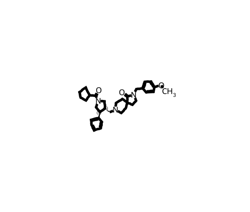 COc1ccc(CN2CCC3(CCN(C[C@H]4CN(C(=O)C5CCCC5)C[C@@H]4c4ccccc4)CC3)C2=O)cc1